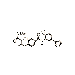 CNC(=O)C(O)C(C)Cc1ccc(C(=O)Nc2cc(-c3cccs3)ccc2N)cc1